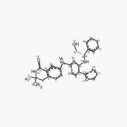 CC1(C)Cc2ccc(Nc3ncc(-c4ncco4)c(N[C@H](CO)c4ccccc4)n3)cc2C(=O)N1